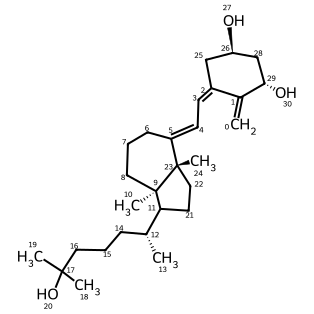 C=C1/C(=C\C=C2/CCC[C@]3(C)C([C@H](C)CCCC(C)(C)O)CC[C@@]23C)C[C@@H](O)C[C@@H]1O